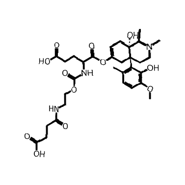 COc1ccc(C)c([C@]23CCN(C)C(C)[C@]2(O)CC=C(OC(=O)C(CCC(=O)O)NC(=O)OCCNC(=O)CCC(=O)O)C3)c1O